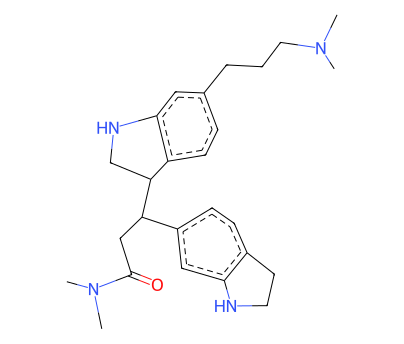 CN(C)CCCc1ccc2c(c1)NCC2C(CC(=O)N(C)C)c1ccc2c(c1)NCC2